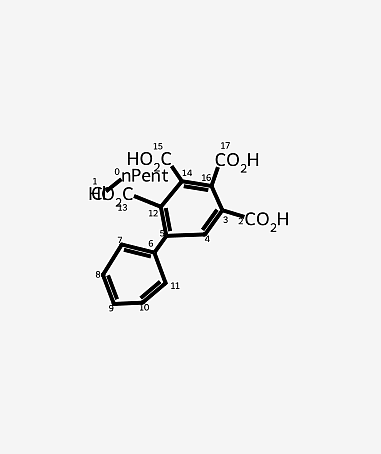 CCCCCCl.O=C(O)c1cc(-c2ccccc2)c(C(=O)O)c(C(=O)O)c1C(=O)O